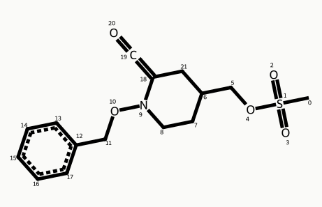 CS(=O)(=O)OCC1CCN(OCc2ccccc2)C(=C=O)C1